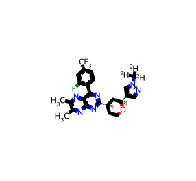 [2H]C([2H])([2H])n1cc([C@H]2C[C@@H](c3nc(-c4ccc(C(F)(F)F)cc4F)c4nc(C)c(C)nc4n3)CCO2)cn1